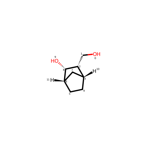 OC[C@@H]1[C@@H]2CC[C@@H](C2)[C@@H]1O